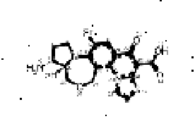 N[C@@H]1CCN2c3c(F)cc4c(=O)c(C(=O)O)c5sccn5c4c3COC[C@H]12